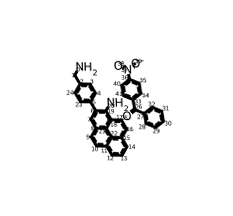 NCc1ccc(-c2cc3ccc4cccc5ccc(c2N)c3c45)cc1.O=C(c1ccccc1)c1ccc([N+](=O)[O-])cc1